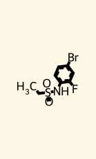 CCS(=O)(=O)Nc1ccc(Br)cc1F